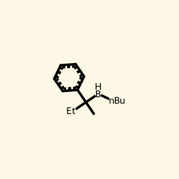 CCCCBC(C)(CC)c1ccccc1